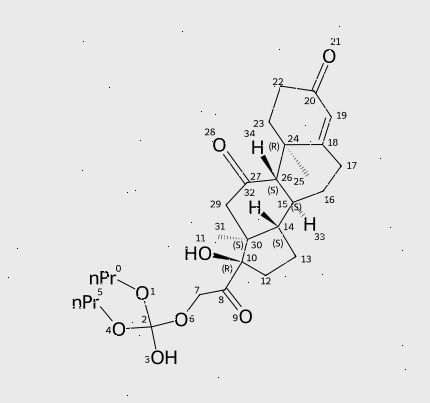 CCCOC(O)(OCCC)OCC(=O)[C@@]1(O)CC[C@H]2[C@@H]3CCC4=CC(=O)CC[C@]4(C)[C@H]3C(=O)C[C@@]21C